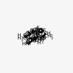 CC(C)(C)c1cc(NC(=O)C(C)(C)S(=O)(=O)C2=CC3=CNSN3C=C2)no1.CC(C)(C)c1cc(NC(=O)C(C)(C)S(=O)(=O)c2ccc(F)cc2F)no1